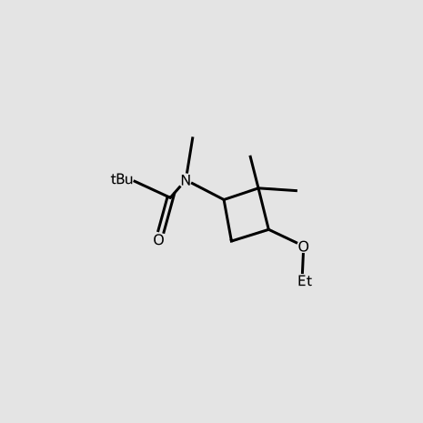 CCOC1CC(N(C)C(=O)C(C)(C)C)C1(C)C